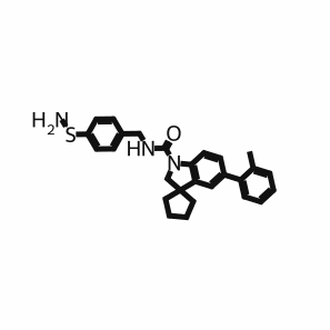 Cc1ccccc1-c1ccc2c(c1)C1(CCCC1)CN2C(=O)NCc1ccc(SN)cc1